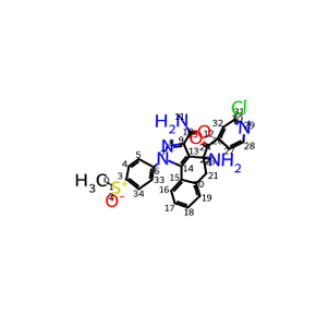 C[S+]([O-])c1ccc(-n2nc(C(N)=O)c3c2-c2ccccc2CC3(N)C(=O)c2ccnc(Cl)c2)cc1